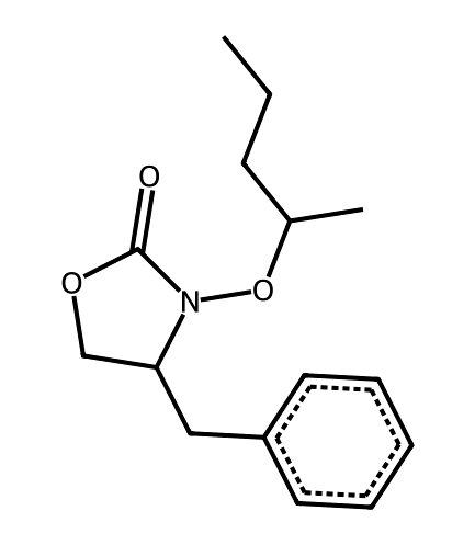 CCCC(C)ON1C(=O)OCC1Cc1ccccc1